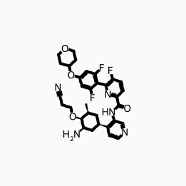 C[C@H]1C[C@@H](c2ccncc2NC(=O)c2ccc(F)c(-c3c(F)cc(OC4CCOCC4)cc3F)n2)C[C@@H](N)[C@H]1OCCC#N